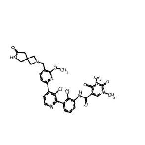 COc1nc(-c2ccnc(-c3cccc(NC(=O)c4cn(C)c(=O)n(C)c4=O)c3Cl)c2Cl)ccc1CN1CC2(CNC(=O)C2)C1